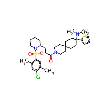 Cc1cc(S(=O)(=O)N2CCCCC2CCC(=O)N2CCC3(CC2)CCC(c2cccs2)(N(C)C)CC3)c(C)cc1Cl